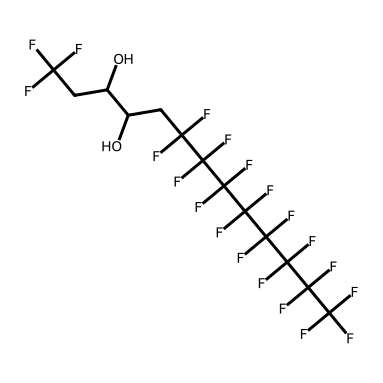 OC(CC(F)(F)F)C(O)CC(F)(F)C(F)(F)C(F)(F)C(F)(F)C(F)(F)C(F)(F)C(F)(F)C(F)(F)F